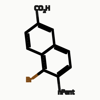 CCCCCc1ccc2cc(C(=O)O)ccc2c1Br